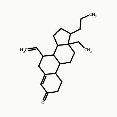 C=CC1CC2=CC(=O)CCC2C2CCC3(CC)C(CCC)CCC3C12